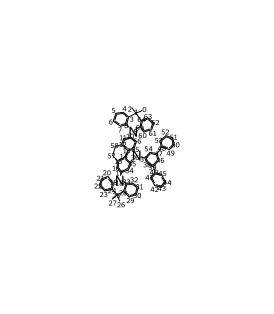 CC1(C)c2ccccc2N(c2cc3c4c5c(cc(N6c7ccccc7C(C)(C)c7ccccc76)cc5n(-c5cc(-c6ccccc6)cc(-c6ccccc6)c5)c4c2)CC3)c2ccccc21